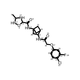 CC1NOC(C(=O)NC23CC(C2)C(NC(=O)COc2ccc(Cl)c(F)c2)C3)N1